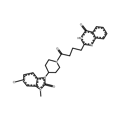 Cn1c(=O)n(C2CCN(C(=O)CCCc3nc4ccccc4c(=O)[nH]3)CC2)c2ccc(Cl)cc21